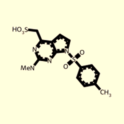 CNc1nc(CS(=O)(=O)O)c2ccn(S(=O)(=O)c3ccc(C)cc3)c2n1